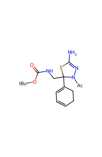 CC(=O)N1N=C(N)SC1(CNC(=O)OC(C)(C)C)C1=CC=CCC1